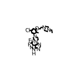 CCN1CCN(CCOc2cc(Cl)cc(N3CCN(c4ncnc5[nH]nc(C(F)(F)F)c45)CC3)c2C)CC1